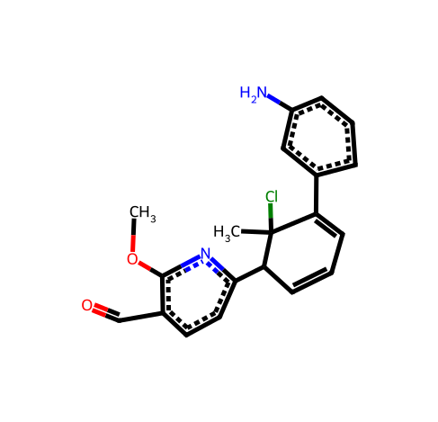 COc1nc(C2C=CC=C(c3cccc(N)c3)C2(C)Cl)ccc1C=O